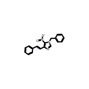 O=[N+]([O-])c1c(/C=C/c2ccccc2)ncn1Cc1ccccc1